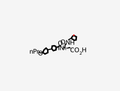 CCCOc1ccc(-c2ccc(C(=O)N[C@@H](CCC(=O)O)C(=O)NCc3ccccc3)cc2)cc1